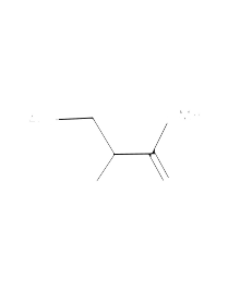 COC(=O)C(C)COC(C)=O